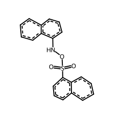 O=S(=O)(ONc1cccc2ccccc12)c1cccc2ccccc12